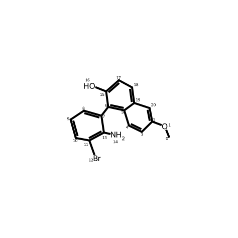 COc1ccc2c(-c3cccc(Br)c3N)c(O)ccc2c1